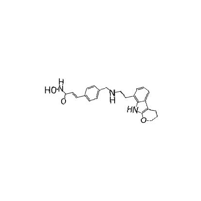 O=C(/C=C/c1ccc(CNCCc2cccc3c4c([nH]c23)OCCC4)cc1)NO